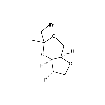 CC(C)CC1(C)OC[C@H]2OC[C@H](I)[C@H]2O1